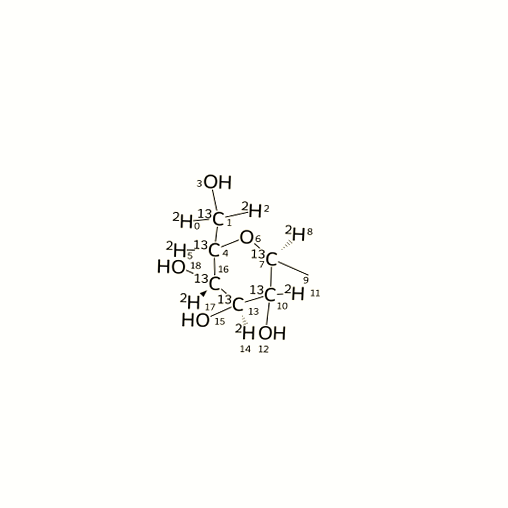 [2H][13C]([2H])(O)[13C]1([2H])O[13C@@]([2H])(C)[13C]([2H])(O)[13C@@]([2H])(O)[13C@]1([2H])O